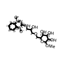 COC1OC(COCC(O)CNc2n[n+]([O-])c3ccccc3[n+]2[O-])C(O)C(O)C1O